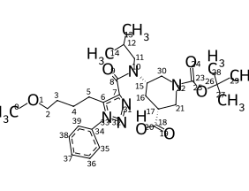 COCCCCc1c(C(=O)N(CC(C)C)[C@H]2C[C@@H](C(=O)O)CN(C(=O)OC(C)(C)C)C2)nnn1-c1ccccc1